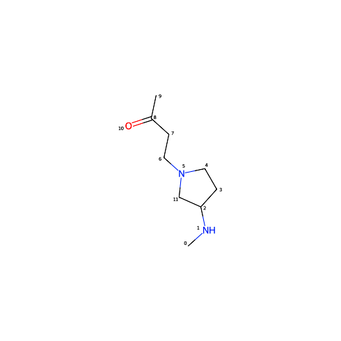 CNC1CCN(CCC(C)=O)C1